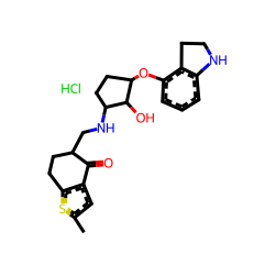 Cc1cc2c(s1)CCC(CNC1CCC(Oc3cccc4c3CCN4)C1O)C2=O.Cl